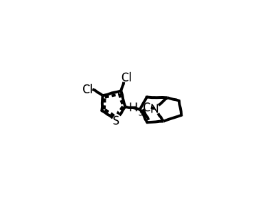 CN1C2C=C(c3scc(Cl)c3Cl)CC1CC2